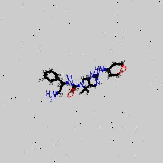 CC1(C)c2cnc(NC3CCOCC3)nc2CN1C(=O)NC(CN)c1ccccc1